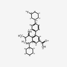 CC(C)C(=N)c1c(-c2ccc(N3CCCC(F)C3)nc2)cc(C(=O)O)nc1NC1CCCCC1